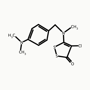 CN(C)c1ccc(CN(C)c2ssc(=O)c2Cl)cc1